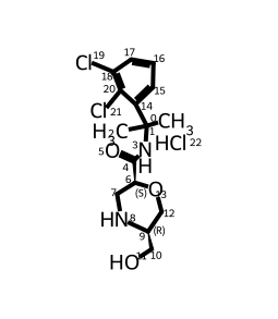 CC(C)(NC(=O)[C@@H]1CN[C@H](CO)CO1)c1cccc(Cl)c1Cl.Cl